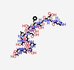 CC[C@H](C)[C@H](NC(=O)[C@@H](NC(=O)[C@H](C)NC(=O)[C@H](CC(C)C)NC(=O)[C@H](CCC(=O)O)NC(=O)[C@H](CO)NC(=O)[C@H](CO)NC(=O)[C@H](Cc1ccccc1)NC(=O)[C@@H](NC(=O)CNC(=O)[C@H](CCC(=O)O)NC(=O)CNC(=O)[C@@H](N)Cc1c[nH]cn1)[C@@H](C)O)[C@@H](C)O)C(=O)N[C@@H](CC(C)C)C(=O)N[C@@H](CC(=O)O)C(=O)N[C@@H](C)C(=O)N[C@@H](CC(C)C)C(=O)N[C@@H](C)C(=O)N[C@@H](C)C(=O)O